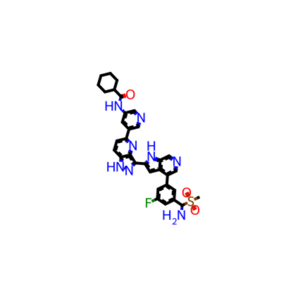 CS(=O)(=O)C(N)c1cc(F)cc(-c2cncc3[nH]c(-c4n[nH]c5ccc(-c6cncc(NC(=O)C7CCCCC7)c6)nc45)cc23)c1